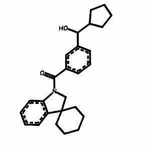 O=C(c1cccc(C(O)C2CCCC2)c1)N1CC2(CCCCC2)c2ccccc21